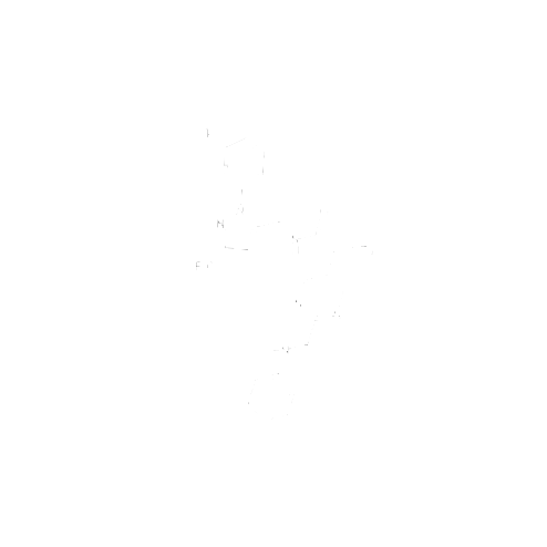 CC(C(=O)NCc1cc(C(F)(F)F)nn1-c1cccc(Cl)c1)c1cnc(C(=O)Nc2ccccc2)nc1